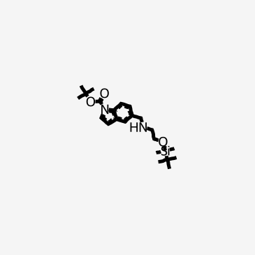 CC(C)(C)OC(=O)n1ccc2cc(CNCCO[Si](C)(C)C(C)(C)C)ccc21